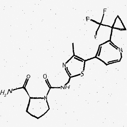 Cc1nc(NC(=O)N2CCC[C@H]2C(N)=O)sc1-c1ccnc(C2(C(F)(F)F)CC2)c1